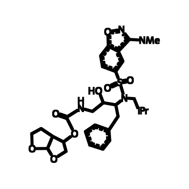 CNc1noc2ccc(S(=O)(=O)N(CC(C)C)C(Cc3ccccc3)C(O)CNC(=O)OC3COC4OCCC34)cc12